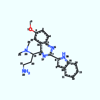 COc1ccc2nc(-c3cc4ccccc4[nH]3)nc(C(CCN)N(C)C)c2c1